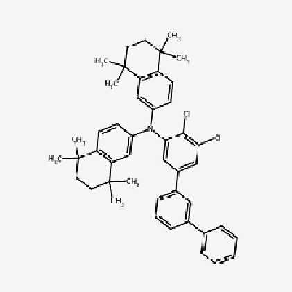 CC1(C)CCC(C)(C)c2cc(N(c3ccc4c(c3)C(C)(C)CCC4(C)C)c3cc(-c4cccc(-c5ccccc5)c4)cc(Cl)c3Cl)ccc21